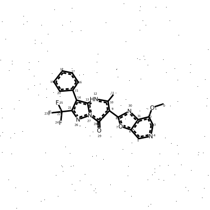 COc1cncc2oc(-c3c(C)[nH]c4c(-c5ccccc5)c(C(F)(F)F)nn4c3=O)nc12